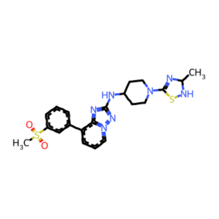 CC1N=C(N2CCC(Nc3nc4c(-c5cccc(S(C)(=O)=O)c5)cccn4n3)CC2)SN1